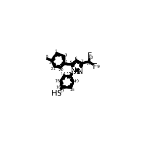 Cc1ccc(-c2cc(C(F)F)nn2-c2ccc(S)cc2)cc1